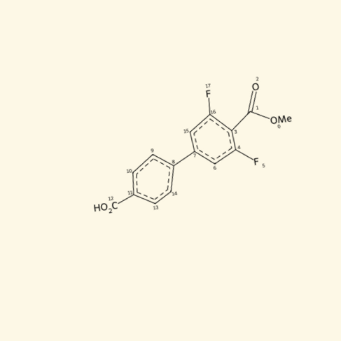 COC(=O)c1c(F)cc(-c2ccc(C(=O)O)cc2)cc1F